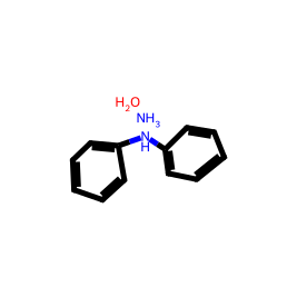 N.O.c1ccc(Nc2ccccc2)cc1